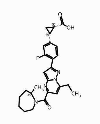 CCc1cc(C(=O)N2CCCCC[C@H]2C)nc2cc(-c3ccc([C@@H]4C[C@@H]4C(=O)O)cc3F)nn12